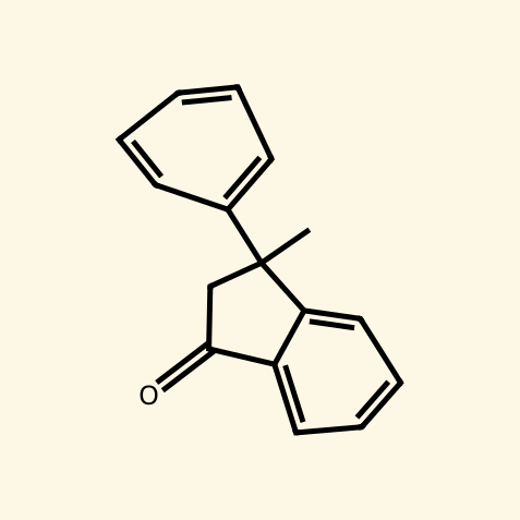 CC1(c2ccccc2)CC(=O)c2ccccc21